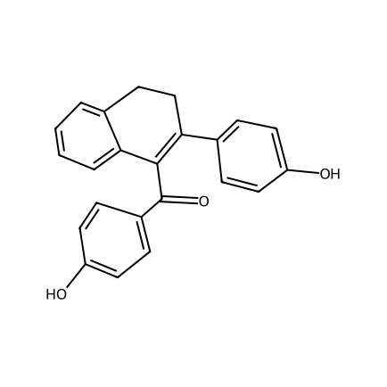 O=C(C1=C(c2ccc(O)cc2)CCc2ccccc21)c1ccc(O)cc1